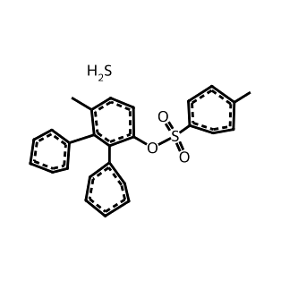 Cc1ccc(S(=O)(=O)Oc2ccc(C)c(-c3ccccc3)c2-c2ccccc2)cc1.S